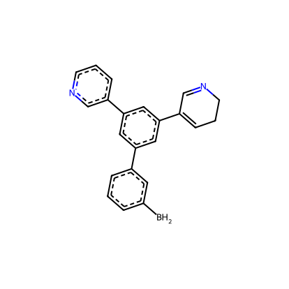 Bc1cccc(-c2cc(C3=CCCN=C3)cc(-c3cccnc3)c2)c1